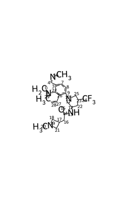 C=Nc1c(/C=N\C)ccc(N2CC(NC(=O)CC3CN(C)C3)CC(C(F)(F)F)C2)c1/C=C\C